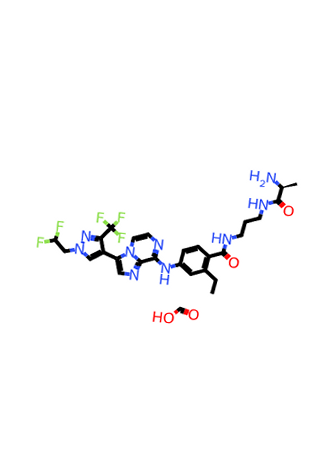 CCc1cc(Nc2nccn3c(-c4cn(CC(F)F)nc4C(F)(F)F)cnc23)ccc1C(=O)NCCCNC(=O)[C@H](C)N.O=CO